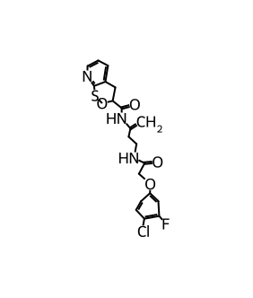 C=C(CCNC(=O)COc1ccc(Cl)c(F)c1)NC(=O)C1Cc2cccnc2SO1